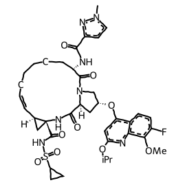 COc1c(F)ccc2c(O[C@@H]3C[C@H]4C(=O)N[C@]5(C(=O)NS(=O)(=O)C6CC6)C[C@H]5C=CCCCCC[C@H](NC(=O)c5ccn(C)n5)C(=O)N4C3)cc(OC(C)C)nc12